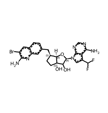 Nc1nc2cc(C[C@@H]3CC[C@]4(O)C(O)[C@H](n5cc(C(F)F)c6c(N)ncnc65)O[C@H]34)ccc2cc1Br